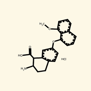 COc1cccc2cccc(Oc3ccc4c(c3)C(C(=O)O)C(N)CC4)c12.Cl